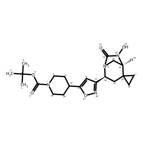 CC(C)(C)OC(=O)N1CCC(c2cc([C@@H]3CC4(CC4)[C@H]4CN3C(=O)N4O)no2)CC1